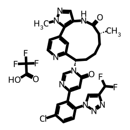 C[C@@H]1CCC[C@H](n2cnc(-c3cc(Cl)ccc3-n3cc(C(F)F)nn3)cc2=O)c2cc(ccn2)-c2c(cnn2C)NC1=O.O=C(O)C(F)(F)F